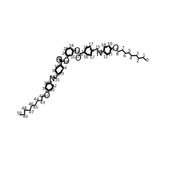 CCCCCCCCCOc1ccc(/N=C/c2ccc(C(=O)Oc3cccc(OC(=O)c4ccc(/C=N/c5ccc(OCCCCCCCCC)cc5)cc4)c3)cc2)cc1